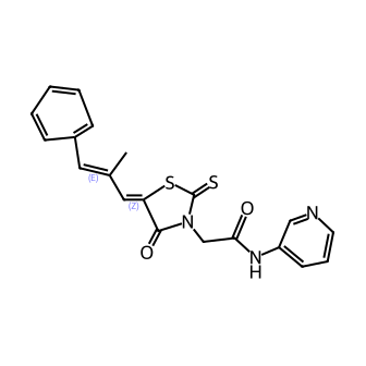 CC(/C=C1\SC(=S)N(CC(=O)Nc2cccnc2)C1=O)=C\c1ccccc1